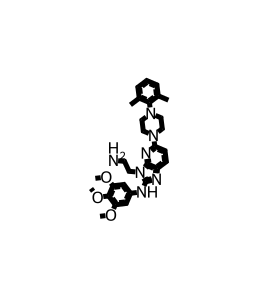 COc1cc(Nc2nc3ccc(N4CCN(c5c(C)cccc5C)CC4)nc3n2CCN)cc(OC)c1OC